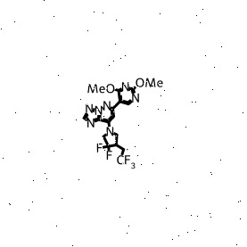 COc1ncc(-c2cc(N3CC([CH]C(F)(F)F)C(F)(F)C3)c3ncnn3n2)c(OC)n1